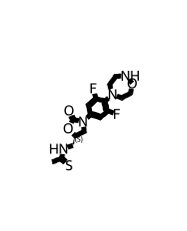 CC(=S)NC[C@H]1CN(c2cc(F)c(N3CCNOCC3)c(F)c2)C(=O)O1